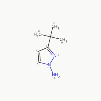 CC(C)(C)c1ccn(N)n1